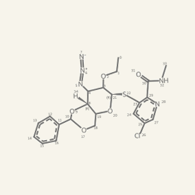 CCOC1C(N=[N+]=[N-])[C@H]2OC(c3ccccc3)OCC2O[C@@H]1Sc1cc(Cl)cnc1C(=O)NC